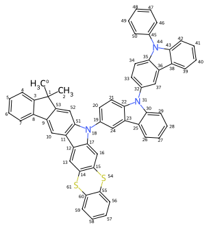 CC1(C)c2ccccc2-c2cc3c4cc5c(cc4n(-c4ccc6c(c4)c4ccccc4n6-c4ccc6c(c4)c4ccccc4n6-c4ccccc4)c3cc21)Sc1ccccc1S5